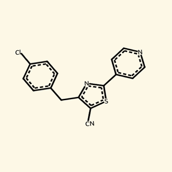 N#Cc1sc(-c2ccncc2)nc1Cc1ccc(Cl)cc1